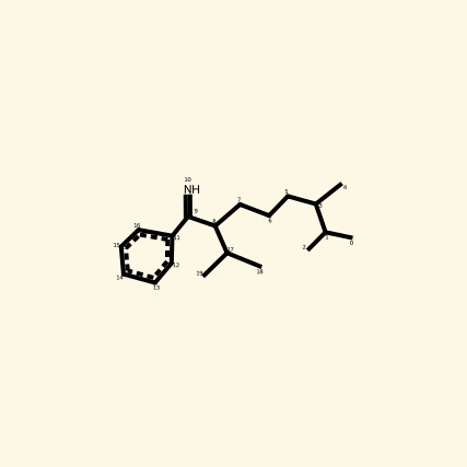 CC(C)C(C)CCCC(C(=N)c1ccccc1)C(C)C